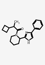 CC(C(=O)N1CCCCC1c1nc(-c2ccccc2)c[nH]1)C1CCC1